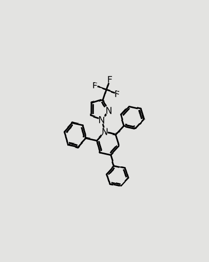 FC(F)(F)c1ccn(N2C(c3ccccc3)=CC(c3ccccc3)=CC2c2ccccc2)n1